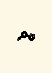 N#Cc1cccc(-c2cccnn2)c1